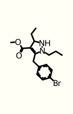 CCCN1NC(CC)C(C(=O)OC)=C1Cc1ccc(Br)cc1